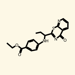 CCOC(=O)c1ccc(NC(CC)c2nc(=O)c3cccnc3s2)cc1